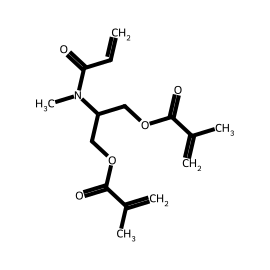 C=CC(=O)N(C)C(COC(=O)C(=C)C)COC(=O)C(=C)C